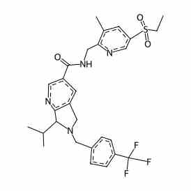 CCS(=O)(=O)c1cnc(CNC(=O)c2cnc3c(c2)CN(Cc2ccc(C(F)(F)F)cc2)C3C(C)C)c(C)c1